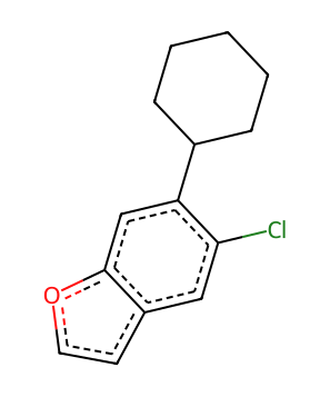 Clc1cc2ccoc2cc1C1CCCCC1